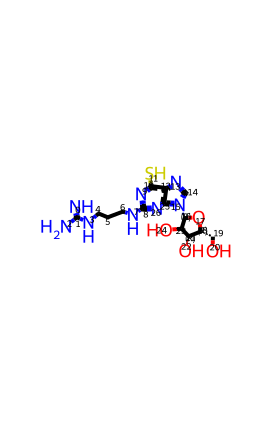 N=C(N)NCCCNc1nc(S)c2ncn([C@@H]3O[C@H](CO)[C@H](O)C3O)c2n1